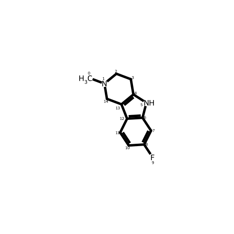 CN1CCc2[nH]c3cc(F)ccc3c2C1